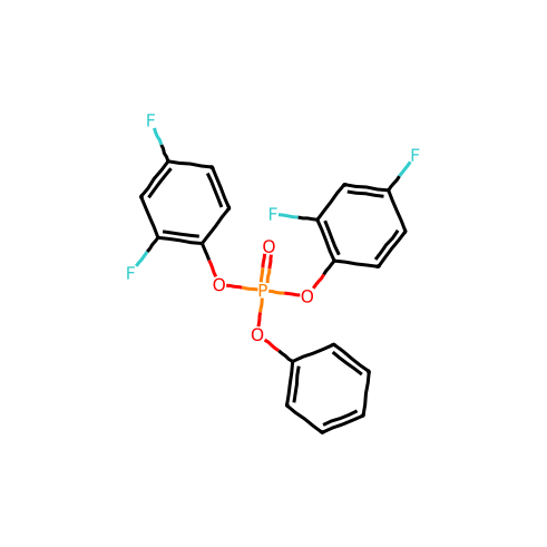 O=P(Oc1ccccc1)(Oc1ccc(F)cc1F)Oc1ccc(F)cc1F